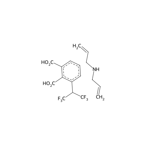 C=CCNCC=C.O=C(O)c1cccc(C(C(F)(F)F)C(F)(F)F)c1C(=O)O